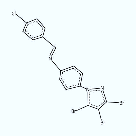 Clc1ccc(/C=N/c2ccc(-n3nc(Br)c(Br)c3Br)cc2)cc1